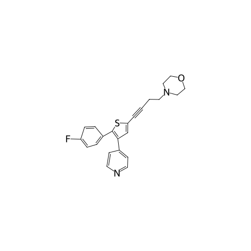 Fc1ccc(-c2sc(C#CCCN3CCOCC3)cc2-c2ccncc2)cc1